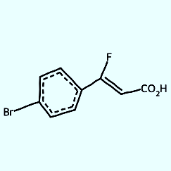 O=C(O)C=C(F)c1ccc(Br)cc1